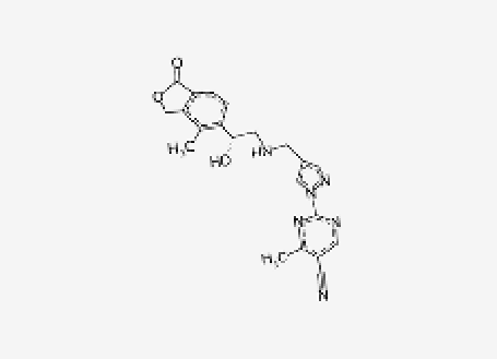 Cc1nc(-n2cc(CNC[C@H](O)c3ccc4c(c3C)COC4=O)cn2)ncc1C#N